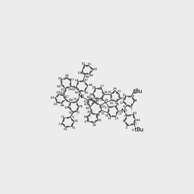 CC(C)(C)c1ccc(N(c2ccc(C(C)(C)C)cc2)c2ccc3c(c2)C2(c4ccccc4-c4ccccc42)c2c-3c3ccccc3c3cc(-n4c5ccc(-c6ccccc6)cc5c5ccccc5c5ccccc5c5cc(-c6ccccc6)ccc54)ccc23)cc1